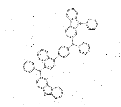 c1ccc(N(c2ccc(-c3ccc(N(c4ccccc4)c4ccc5oc6ccccc6c5c4)c4ccccc34)cc2)c2ccc3c4ccccc4n(-c4ccccc4)c3c2)cc1